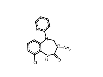 N[C@H]1CN(c2ccccn2)c2cccc(Cl)c2NC1=O